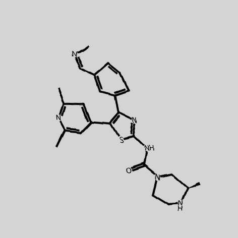 C/N=C\c1cccc(-c2nc(NC(=O)N3CCN[C@H](C)C3)sc2-c2cc(C)nc(C)c2)c1